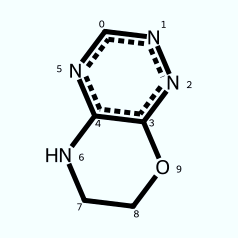 c1nnc2c(n1)NCCO2